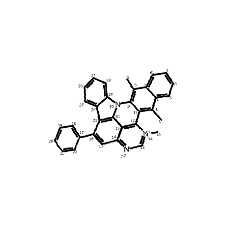 Cc1c2ccccc2c(C)c2c1c1c3c(cc(-c4ccccc4)c4c5ccccc5n2c43)nc[n+]1C